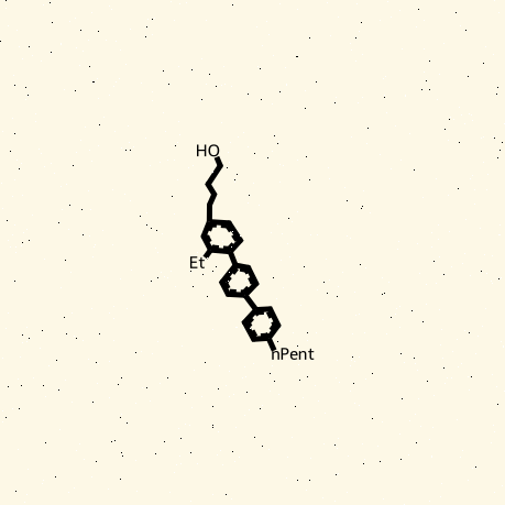 CCCCCc1ccc(-c2ccc(-c3ccc(CCCCO)cc3CC)cc2)cc1